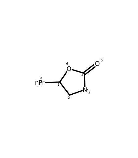 CCCC1C[N]C(=O)O1